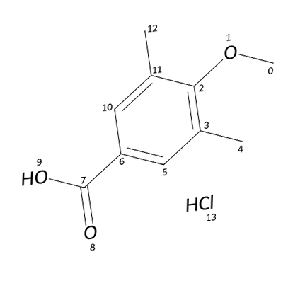 COc1c(C)cc(C(=O)O)cc1C.Cl